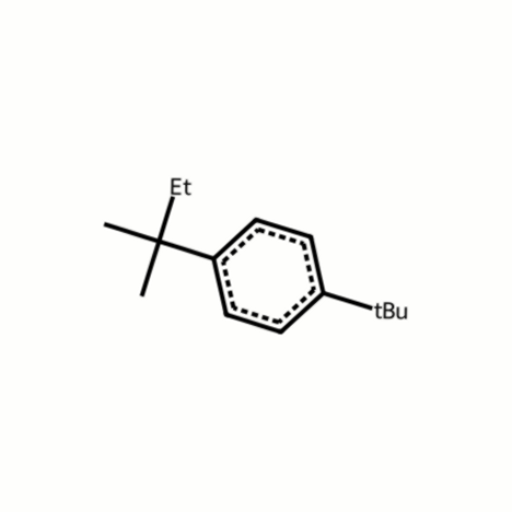 CCC(C)(C)c1ccc(C(C)(C)C)cc1